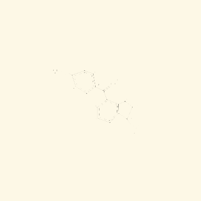 COc1ccc(C(=O)c2cccc3c2CCC3C(=O)O)cc1